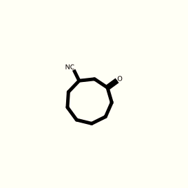 N#CC1CCCCCCC(=O)C1